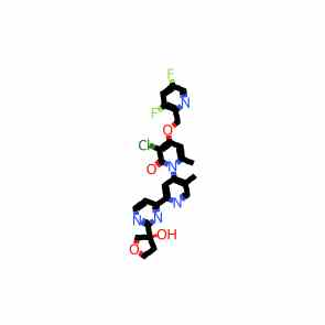 Cc1cnc(-c2ccnc([C@]3(O)CCOC3)n2)cc1-n1c(C)cc(OCc2ncc(F)cc2F)c(Cl)c1=O